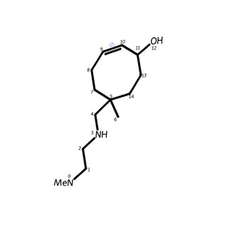 CNCCNCC1(C)CC/C=C\C(O)CC1